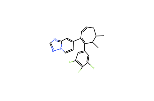 CC1CC=CC(c2ccn3ncnc3c2)=C(c2cc(F)c(F)c(F)c2)C1C